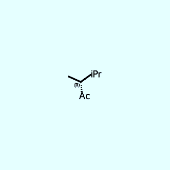 CC(=O)[C@H](C)C(C)C